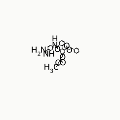 CCOC(=O)COc1ccc(-c2ccccc2C(=O)Nc2ccc(C(=N)N)cc2)c(C(=O)OCc2ccccc2)c1